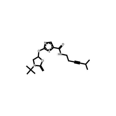 C=C1OC(Oc2ncc(C(=O)NCCC#CC(C)C)s2)CN1C(C)(C)C